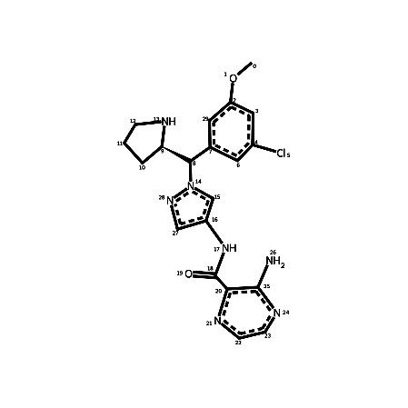 COc1cc(Cl)cc(C([C@H]2CCCN2)n2cc(NC(=O)c3nccnc3N)cn2)c1